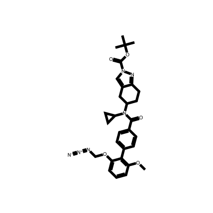 COc1cccc(OCN=[N+]=[N-])c1-c1ccc(C(=O)N(C2CC2)C2CCc3nn(C(=O)OC(C)(C)C)cc3C2)cc1